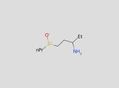 CCC[S+]([O-])CCC(N)CC